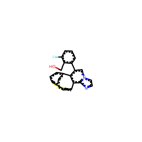 OCc1c(F)cccc1-c1cn2ccnc2c2c1-c1ccc3sc-2cc3c1